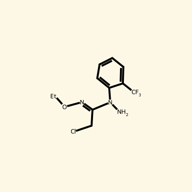 CCON=C(CCl)N(N)c1ccccc1C(F)(F)F